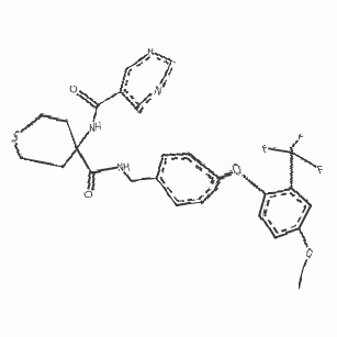 COc1ccc(Oc2ccc(CNC(=O)C3(NC(=O)c4cncnc4)CCSCC3)cc2)c(C(F)(F)F)c1